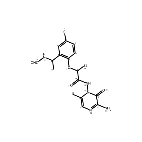 CCC(Oc1ccc(Cl)cc1C(C)NC=O)C(=O)Nn1c(C)cnc(N)c1=O